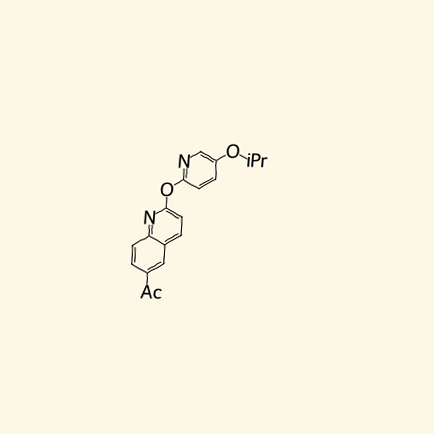 CC(=O)c1ccc2nc(Oc3ccc(OC(C)C)cn3)ccc2c1